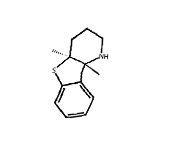 CC12NCCC[C@]1(C)Sc1ccccc12